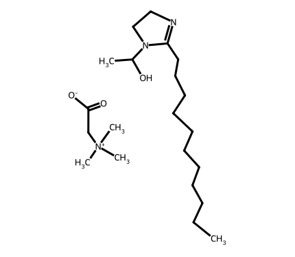 CCCCCCCCCCCC1=NCCN1C(C)O.C[N+](C)(C)CC(=O)[O-]